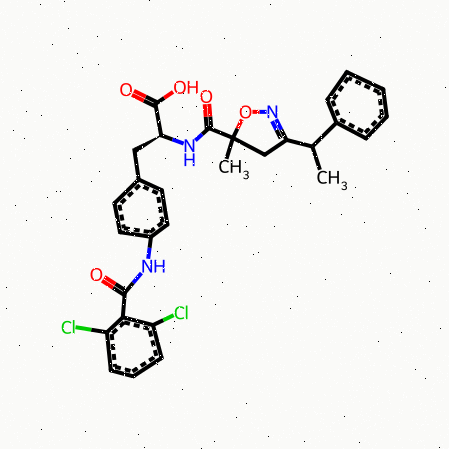 CC(C1=NOC(C)(C(=O)N[C@@H](Cc2ccc(NC(=O)c3c(Cl)cccc3Cl)cc2)C(=O)O)C1)c1ccccc1